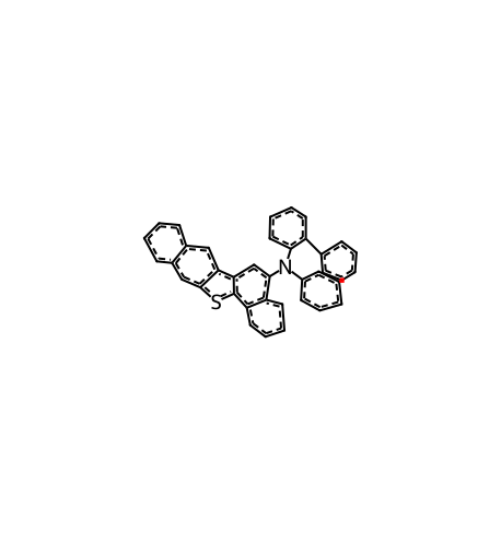 c1ccc(-c2ccccc2N(c2ccccc2)c2cc3c4cc5ccccc5cc4sc3c3ccccc23)cc1